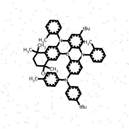 Cc1ccc(N(c2ccc(C(C)(C)C)cc2)c2ccc3c(c2)B2c4cc5c(cc4N(c4ccccc4C)c4cc(C(C)(C)C)cc(c42)N3c2ccccc2C)C(C)(C)CCC5(C)C)cc1